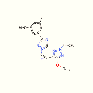 COc1cc(C)cc(-c2ncn(/C=C\c3nn(CC(F)(F)F)nc3OC(F)(F)F)n2)c1